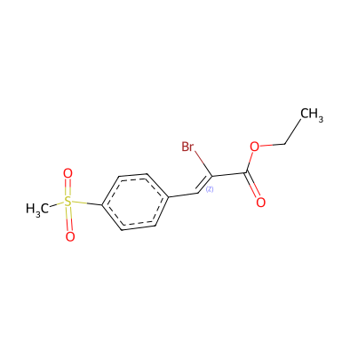 CCOC(=O)/C(Br)=C/c1ccc(S(C)(=O)=O)cc1